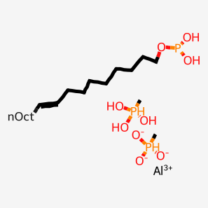 CCCCCCCCC=CCCCCCCCCOP(O)O.C[PH](O)(O)O.C[PH]([O-])([O-])[O-].[Al+3]